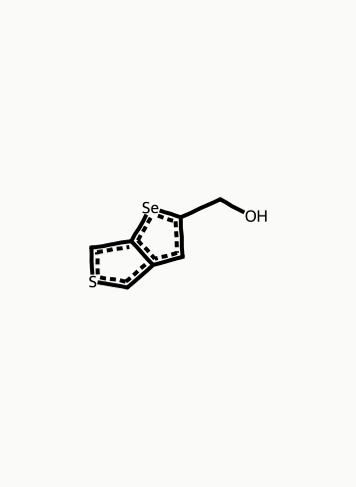 OCc1cc2cscc2[se]1